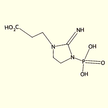 N=C1N(CCC(=O)O)CCN1P(=O)(O)O